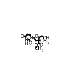 CCC1OC(n2ccc(=O)[nH]c2=O)CC1(C)C(=O)OC